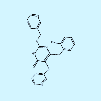 O=c1[nH]c(SCc2ccccc2)nc(Cc2ccccc2F)c1Cc1cncnc1